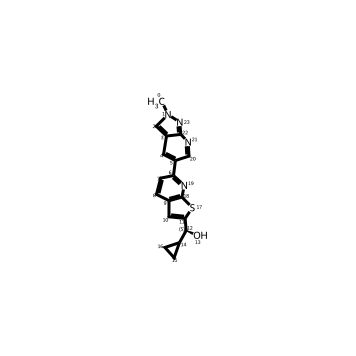 Cn1cc2cc(-c3ccc4cc([C@@H](O)C5CC5)sc4n3)cnc2n1